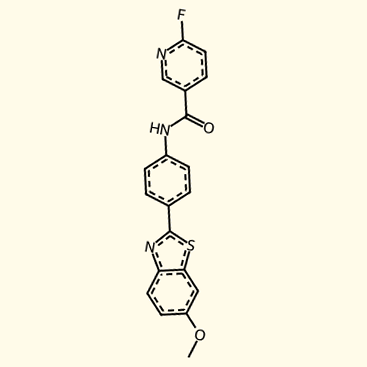 COc1ccc2nc(-c3ccc(NC(=O)c4ccc(F)nc4)cc3)sc2c1